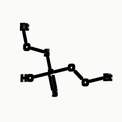 CCOOP(O)(=S)SOCC